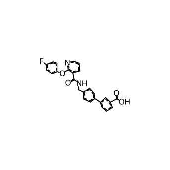 O=C(O)c1cccc(-c2ccc(CNC(=O)c3cccnc3Oc3ccc(F)cc3)cc2)c1